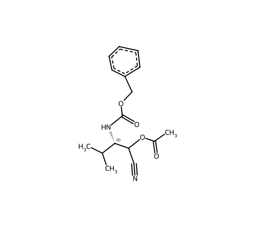 CC(=O)OC(C#N)[C@@H](NC(=O)OCc1ccccc1)C(C)C